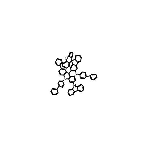 c1ccc(-c2ccc(N3c4ccc(-c5ccccc5)cc4B4c5cc6c(cc5N(c5ccc(-c7ccccc7)cc5)c5cc(-n7c8ccccc8c8ccccc87)cc3c54)-c3ccccc3C63c4ccccc4Oc4ccccc43)cc2)cc1